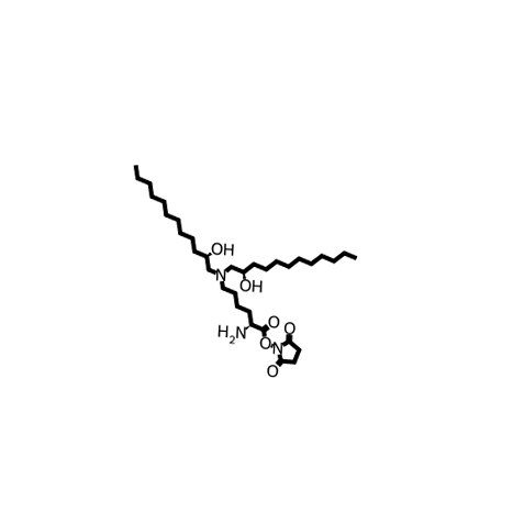 CCCCCCCCCC[C@@H](O)CN(CCCC[C@@H](N)C(=O)ON1C(=O)CCC1=O)C[C@H](O)CCCCCCCCCC